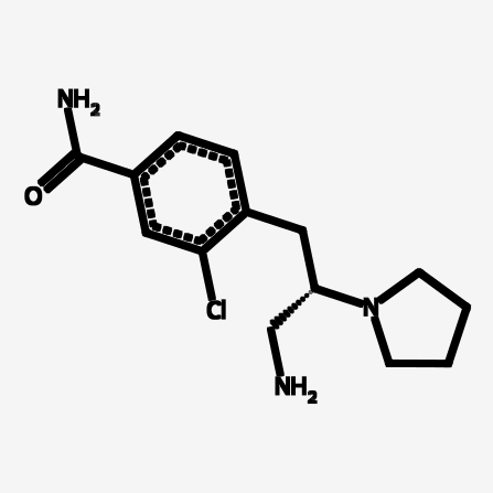 NC[C@H](Cc1ccc(C(N)=O)cc1Cl)N1CCCC1